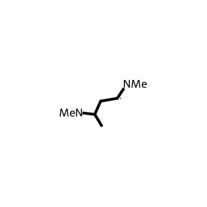 CN[CH]CC(C)NC